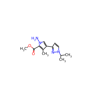 COC(=O)c1c(C)c(-c2ccn(C(C)C)n2)cn1N